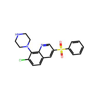 O=S(=O)(c1ccccc1)c1cnc2c(N3CCNCC3)c(Cl)ccc2c1